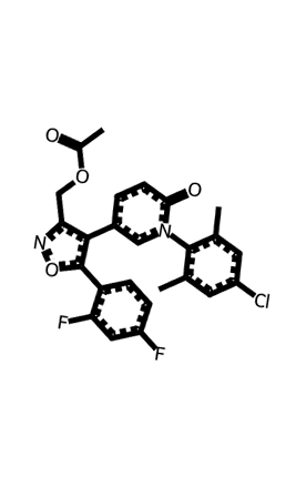 CC(=O)OCc1noc(-c2ccc(F)cc2F)c1-c1ccc(=O)n(-c2c(C)cc(Cl)cc2C)c1